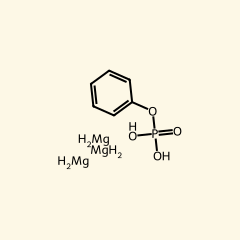 O=P(O)(O)Oc1ccccc1.[MgH2].[MgH2].[MgH2]